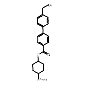 CCCCCC1CCC(OC(=O)c2ccc(-c3ccc(CC(C)CC)cc3)cc2)CC1